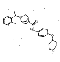 Cc1ccccc1C(C)N1CC2CC1CN2C(=O)Nc1ccc(OC2CCOCC2)cc1